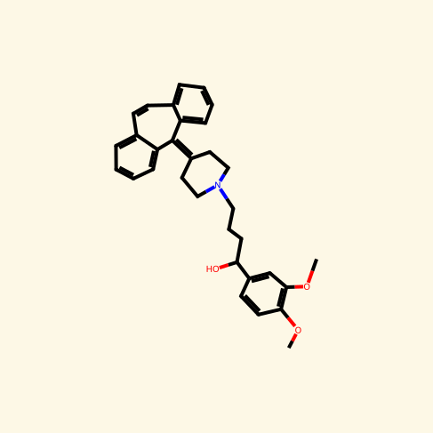 COc1ccc(C(O)CCCN2CCC(=C3c4ccccc4C=Cc4ccccc43)CC2)cc1OC